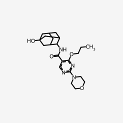 CCCOc1nc(N2CCOCC2)ncc1C(=O)NC1C2CC3CC1CC(O)(C3)C2